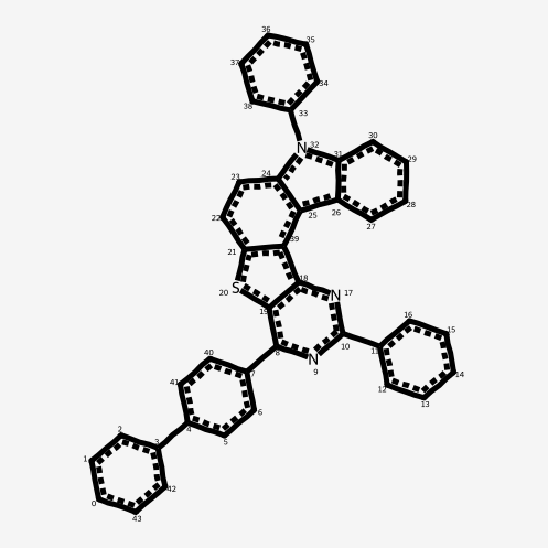 c1ccc(-c2ccc(-c3nc(-c4ccccc4)nc4c3sc3ccc5c(c6ccccc6n5-c5ccccc5)c34)cc2)cc1